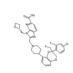 O=C(O)c1ccc2nc(CN3CCC(c4cccc5c4OC(CF)(c4ccc(Cl)cc4F)CO5)CC3)n(C[C@@H]3CCO3)c2n1